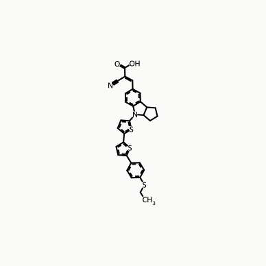 CCSc1ccc(-c2ccc(-c3ccc(N4c5ccc(/C=C(\C#N)C(=O)O)cc5C5CCCC54)s3)s2)cc1